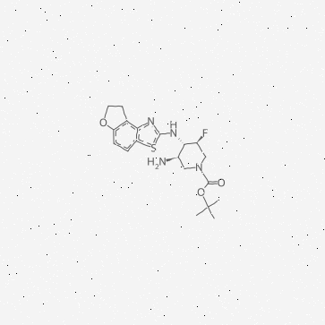 CC(C)(C)OC(=O)N1C[C@@H](N)[C@H](Nc2nc3c4c(ccc3s2)OCC4)[C@@H](F)C1